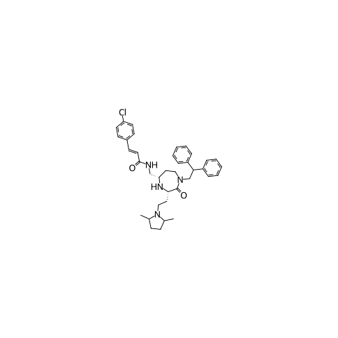 CC1CCC(C)N1CC[C@@H]1N[C@H](CNC(=O)C=Cc2ccc(Cl)cc2)CCN(CC(c2ccccc2)c2ccccc2)C1=O